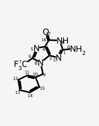 Nc1nc2c(nc(C(F)(F)F)n2Cc2ccccc2)c(=O)[nH]1